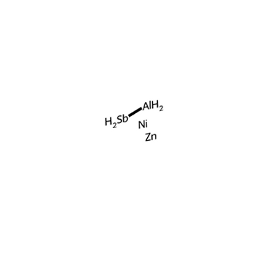 [AlH2][SbH2].[Ni].[Zn]